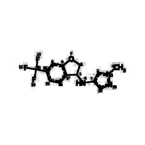 Cn1cc(NC2COc3cc(C(F)(F)F)ccc32)cn1